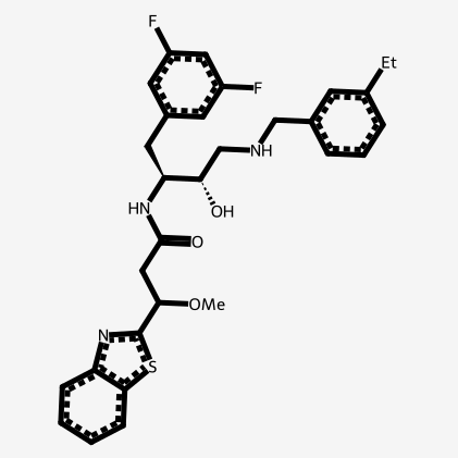 CCc1cccc(CNC[C@H](O)[C@H](Cc2cc(F)cc(F)c2)NC(=O)CC(OC)c2nc3ccccc3s2)c1